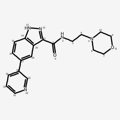 O=C(NCCN1CCOCC1)c1n[nH]c2ccc(-c3cccnc3)cc12